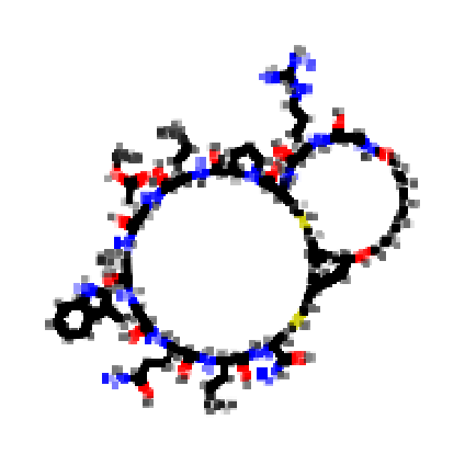 CC[C@H](C)[C@@H]1NC(=O)[C@H](CC(=O)OOC)NC(=O)[C@H](CCSC)NC(=O)[C@@H]2CCCN2C(=O)[C@@H]2CSCc3cc(cc(c3)OCCCCCCO/N=C/C(=O)N[C@@H](CCCNC(=N)N)C(=O)N2)CSC[C@@H](C(N)=O)NC(=O)[C@H](CCC(=O)O)NC(=O)[C@H](CCC(N)=O)NC(=O)[C@H](Cc2c[nH]c3ccccc23)NC1=O